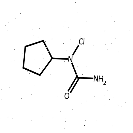 NC(=O)N(Cl)C1CCCC1